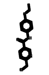 CCOc1ccc(NC(=O)c2ccc(CCl)nc2)cc1